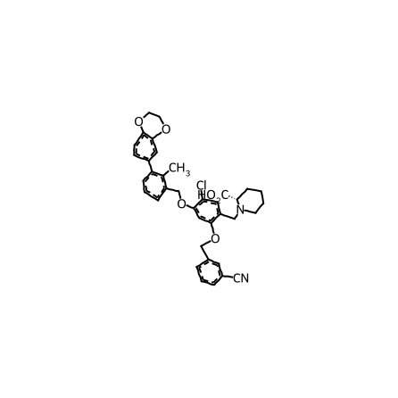 Cc1c(COc2cc(OCc3cccc(C#N)c3)c(CN3CCCC[C@H]3C(=O)O)cc2Cl)cccc1-c1ccc2c(c1)OCCO2